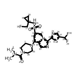 CN(C)C(=O)N1CCN(c2cc(S(=O)(=O)NC3(CF)CC3)cn3c(-c4ncc(C(F)F)s4)ncc23)CC1